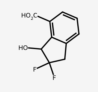 O=C(O)c1cccc2c1C(O)C(F)(F)C2